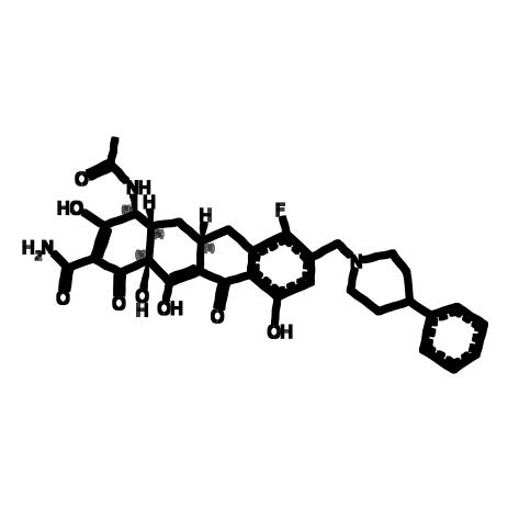 CC(=O)N[C@@H]1C(O)=C(C(N)=O)C(=O)[C@@]2(O)C(O)=C3C(=O)c4c(O)cc(CN5CCC(c6ccccc6)CC5)c(F)c4C[C@H]3C[C@@H]12